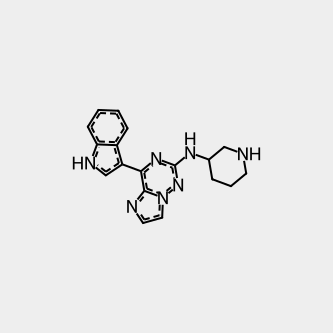 c1ccc2c(-c3nc(NC4CCCNC4)nn4ccnc34)c[nH]c2c1